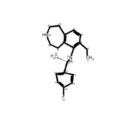 CCc1ccc2c(c1N[C@@H](C)c1ccc(F)cc1)CCNCC2